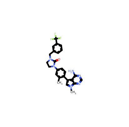 Cc1cc(N2CCN(Cc3cccc(C(F)(F)F)c3)C2=O)ccc1-c1cn(C)c2ncnc(N)c12